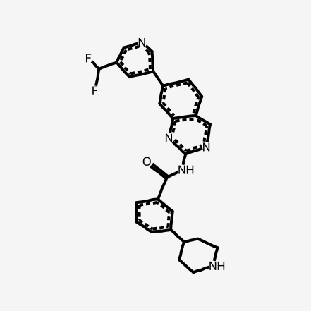 O=C(Nc1ncc2ccc(-c3cncc(C(F)F)c3)cc2n1)c1cccc(C2CCNCC2)c1